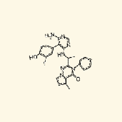 Cc1ccn2nc(C(C)Nc3ncnc(N)c3-c3ccc(O)c(F)c3)n(-c3ccccc3)c(=O)c12